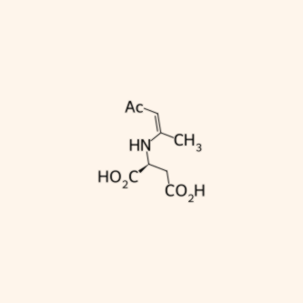 CC(=O)C=C(C)N[C@@H](CC(=O)O)C(=O)O